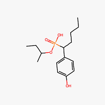 CCCCC(c1ccc(O)cc1)P(=O)(O)OC(C)CC